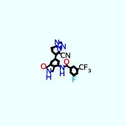 N#Cc1c(-c2cc(NC(=O)c3cc(F)cc(C(F)(F)F)c3)c3c(c2)C(=O)NC3)ccc2ncnn12